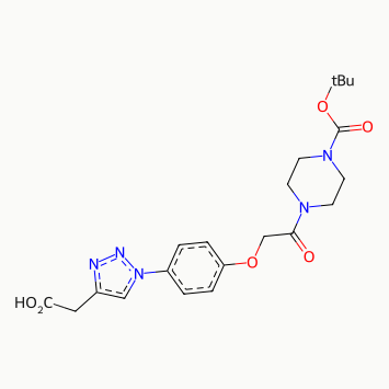 CC(C)(C)OC(=O)N1CCN(C(=O)COc2ccc(-n3cc(CC(=O)O)nn3)cc2)CC1